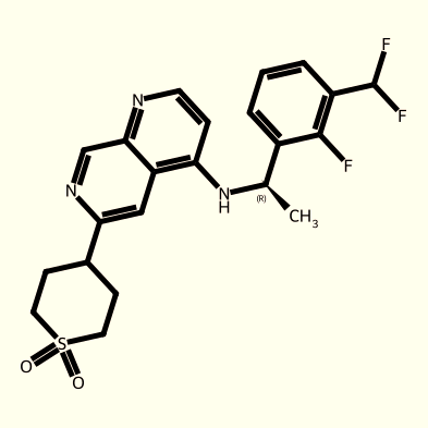 C[C@@H](Nc1ccnc2cnc(C3CCS(=O)(=O)CC3)cc12)c1cccc(C(F)F)c1F